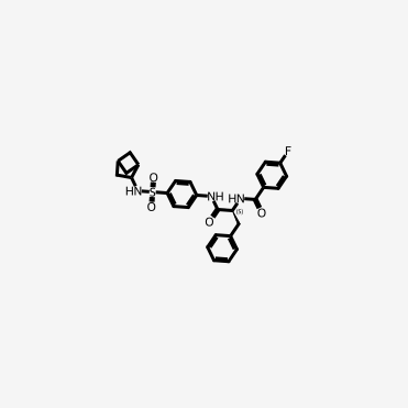 O=C(N[C@@H](Cc1ccccc1)C(=O)Nc1ccc(S(=O)(=O)NC2CC3CC2C3)cc1)c1ccc(F)cc1